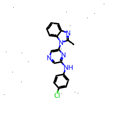 Cc1nc2ccccc2n1-c1cncc(Nc2ccc(Cl)cc2)n1